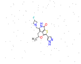 CC1Cc2c(CN3CC(F)C3)[nH]c(=O)c3sc(-c4cn[nH]c4)c(c23)O1